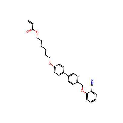 C=CC(=O)OCCCCCCOc1ccc(-c2ccc(COc3ccccc3C#N)cc2)cc1